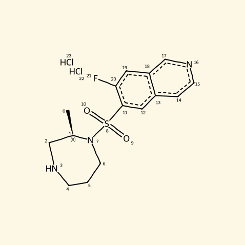 C[C@@H]1CNCCCN1S(=O)(=O)c1cc2ccncc2cc1F.Cl.Cl